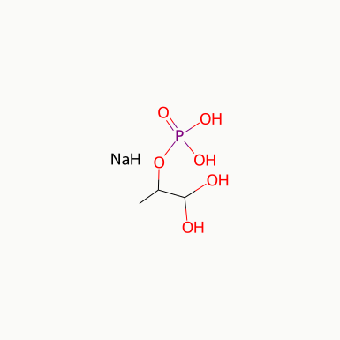 CC(OP(=O)(O)O)C(O)O.[NaH]